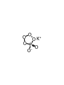 O=P1([O-])OOOO1.[K+]